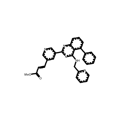 COC(=O)/C=C/c1cncc(-c2nc(NCc3ccccn3)c3c(-c4ccccc4)cccc3n2)c1